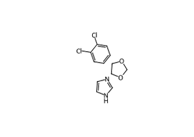 C1COCO1.Clc1ccccc1Cl.c1c[nH]cn1